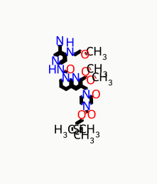 COCCNc1cc(NC(=O)N2CCCc3cc(CN4CCN(C(=O)OCC[Si](C)(C)C)CC4=O)c(C(OC)OC)nc32)ncc1C#N